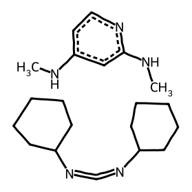 C(=NC1CCCCC1)=NC1CCCCC1.CNc1ccnc(NC)c1